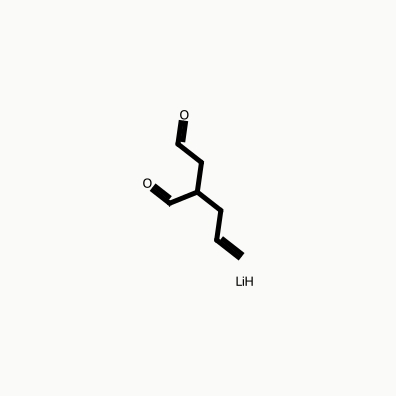 C=CCC([C]=O)CC=O.[LiH]